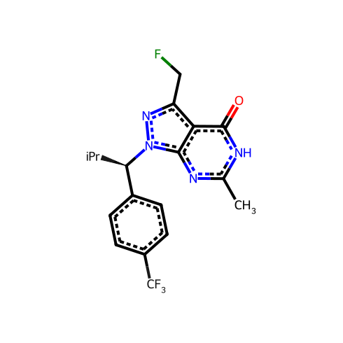 Cc1nc2c(c(CF)nn2[C@@H](c2ccc(C(F)(F)F)cc2)C(C)C)c(=O)[nH]1